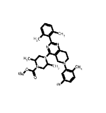 Cc1ccc(C(C)C)cc1N1CCc2nc(-c3c(C)cccc3C)nc(N3CC(C)N(C(=O)OC(C)(C)C)CC3C)c2C1